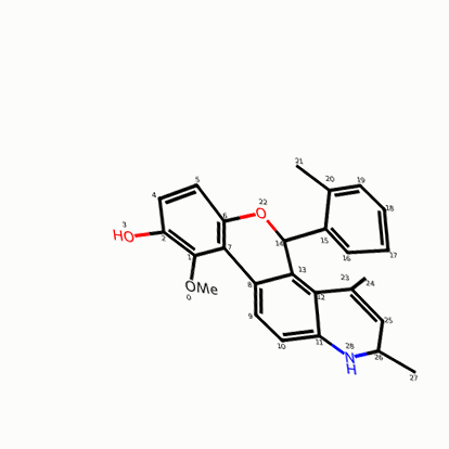 COc1c(O)ccc2c1-c1ccc3c(c1C(c1ccccc1C)O2)C(C)=CC(C)N3